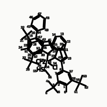 Cc1c(C(C)(C)C)cc(C2=Cc3cccc(-c4cc(C(C)(C)C)c(C)c(C(C)(C)C)c4)c3[CH]2[Zr]([Cl])([Cl])([CH]2C(C(C)C)=Cc3c(-c4ccccc4)cccc32)[SiH](C)C)cc1C(C)(C)C